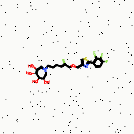 O[C@H]1[C@H](O)[C@@H](O)CN(CCCCC(F)COCc2csc(-c3ccc(F)c(F)c3F)n2)C[C@@H]1O